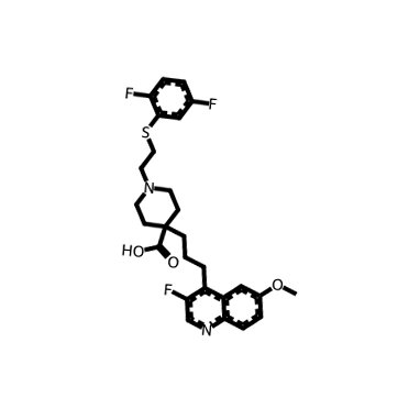 COc1ccc2ncc(F)c(CCCC3(C(=O)O)CCN(CCSc4cc(F)ccc4F)CC3)c2c1